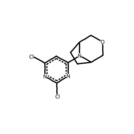 Clc1cc(N2C3CCC2COC3)nc(Cl)n1